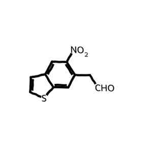 O=CCc1cc2sccc2cc1[N+](=O)[O-]